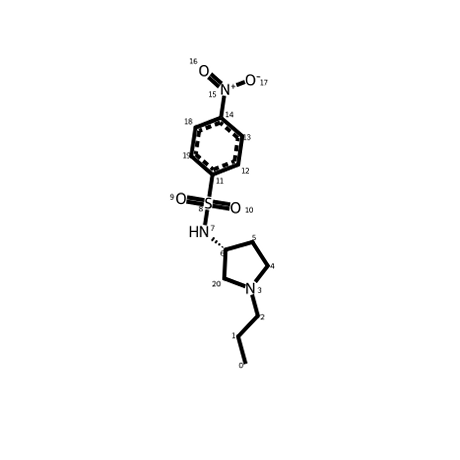 CCCN1CC[C@@H](NS(=O)(=O)c2ccc([N+](=O)[O-])cc2)C1